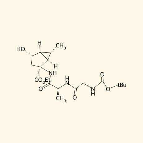 CCOC(=O)[C@]1(NC(=O)[C@H](C)NC(=O)CNC(=O)OC(C)(C)C)C[C@H](O)[C@H]2[C@H](C)[C@H]21